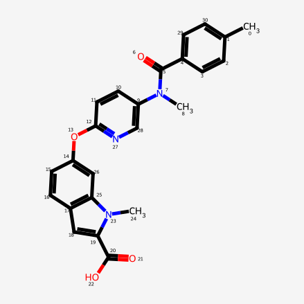 Cc1ccc(C(=O)N(C)c2ccc(Oc3ccc4cc(C(=O)O)n(C)c4c3)nc2)cc1